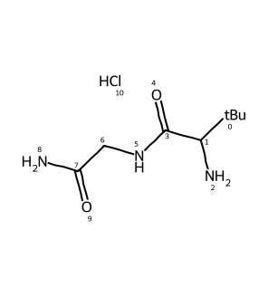 CC(C)(C)C(N)C(=O)NCC(N)=O.Cl